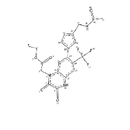 CCOC(=O)Cn1c(=O)c(=O)[nH]c2cc(C(F)(F)F)c(-n3ccc(CNC(C)=O)c3)cc21